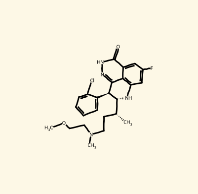 COCCN(C)CC[C@@H](C)[C@H]1Nc2cc(F)cc3c(=O)[nH]nc(c23)[C@@H]1c1ccccc1Cl